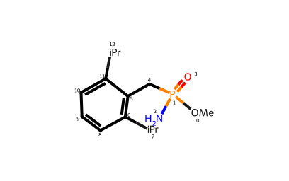 COP(N)(=O)Cc1c(C(C)C)cccc1C(C)C